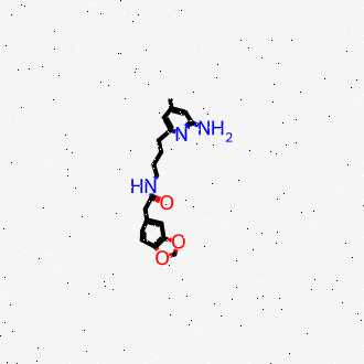 Cc1cc(N)nc(CCCCNC(=O)Cc2ccc3c(c2)OCO3)c1